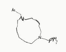 CC(=O)N1CCCN(P)CC1